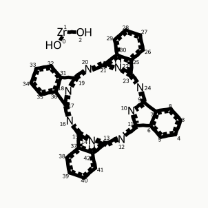 [OH][Zr][OH].c1ccc2c(c1)-c1nc-2nc2[nH]c(nc3nc(nc4[nH]c(n1)c1ccccc41)-c1ccccc1-3)c1ccccc21